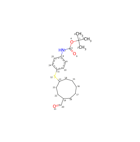 CC(C)(C)OC(=O)Nc1ccc(SC2CCCCCC(C=O)CC2)cc1